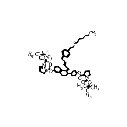 CCCCCCSCCc1ccc(CCCCC2c3ccc(OC(=O)[C@@H]4CCCN4C(=O)OC(C)(C)C)cc3CCC2c2ccc(OC(=O)C3CCCN3C(=O)OC(C)(C)C)cc2)cc1